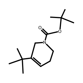 CC(C)(C)OC(=O)N1CCC=C(C(C)(C)C)C1